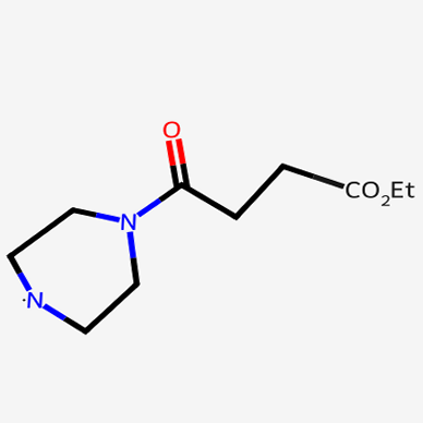 CCOC(=O)CCC(=O)N1CC[N]CC1